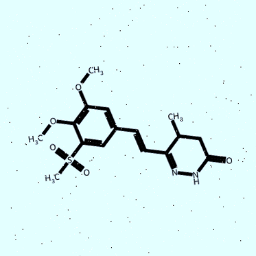 COc1cc(C=CC2=NNC(=O)CC2C)cc(S(C)(=O)=O)c1OC